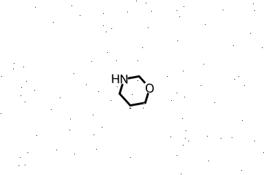 [CH]1CNCOC1